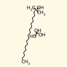 CCCCCCCCCCCCCCCCCC[N+](C)(C)O.OP(O)O